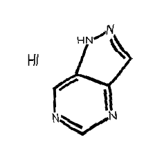 I.c1ncc2[nH]ncc2n1